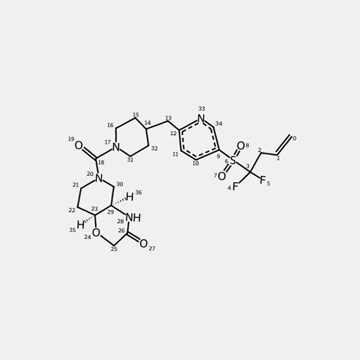 C=CCC(F)(F)S(=O)(=O)c1ccc(CC2CCN(C(=O)N3CC[C@@H]4OCC(=O)N[C@@H]4C3)CC2)nc1